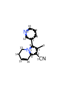 Cc1c(C#N)c2n(c1-c1cccnc1)CCC=C2